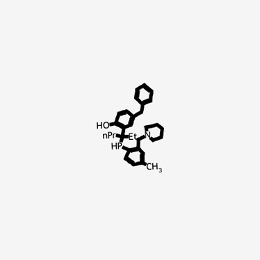 CCCC(CC)(Pc1ccc(C)cc1CN1CCCCC1)c1cc(Cc2ccccc2)ccc1O